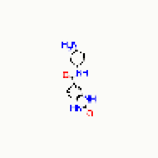 NC1CCC(NC(=O)c2ccc3[nH]c(=O)[nH]c3c2)CC1